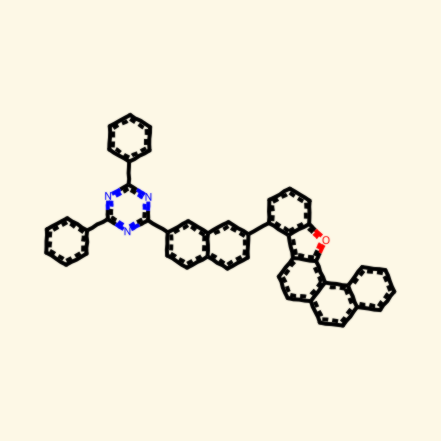 c1ccc(-c2nc(-c3ccccc3)nc(-c3ccc4ccc(-c5cccc6oc7c(ccc8ccc9ccccc9c87)c56)cc4c3)n2)cc1